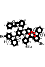 CC(C)(C)c1ccc(N2c3cc(N4c5ccc(C(C)(C)C)cc5C5(C)CCCCC45C)ccc3B3c4c2cc(N2c5ccc(C(C)(C)C)cc5C5(C)CCCCC25C)cc4-n2c4c3cccc4c3oc4ccccc4c32)c(-c2ccccc2)c1